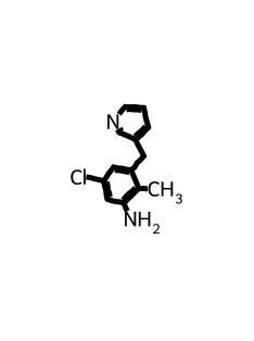 Cc1c(N)cc(Cl)cc1Cc1cccnc1